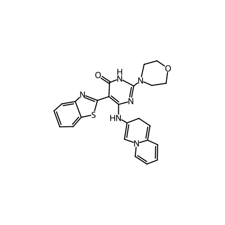 O=c1[nH]c(N2CCOCC2)nc(NC2=CN3C=CC=CC3=CC2)c1-c1nc2ccccc2s1